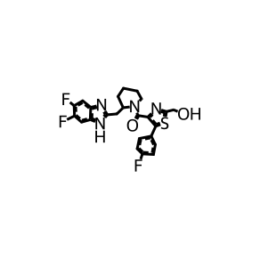 O=C(c1nc(CO)sc1-c1ccc(F)cc1)N1CCCCC1Cc1nc2cc(F)c(F)cc2[nH]1